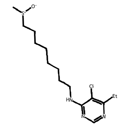 CCc1ncnc(NCCCCCCCC[S+](C)[O-])c1Cl